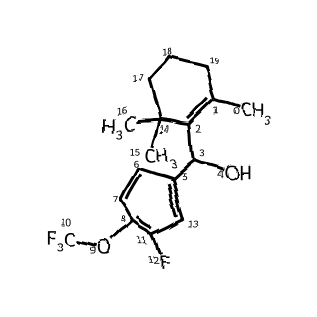 CC1=C(C(O)c2ccc(OC(F)(F)F)c(F)c2)C(C)(C)CCC1